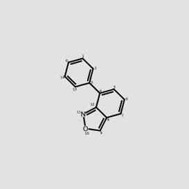 c1ccc(-c2cccc3conc23)cc1